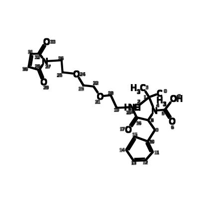 CC(C)(C)N(C(=O)O)C(Cc1ccccc1)C(=O)NCCOCCOCCN1C(=O)C=CC1=O